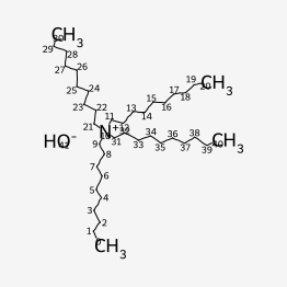 CCCCCCCCCC[N+](CCCCCCCCCC)(CCCCCCCCCC)CCCCCCCCCC.[OH-]